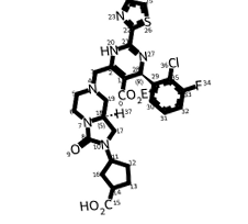 CCOC(=O)C1=C(CN2CCN3C(=O)N(C4CCC(C(=O)O)C4)C[C@@H]3C2)NC(c2nccs2)=N[C@H]1c1cccc(F)c1Cl